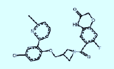 Cc1cccc(-c2cc(Cl)ccc2OCC2CN(C(=O)c3cc4c(cc3F)OCC(=O)N4)C2)n1